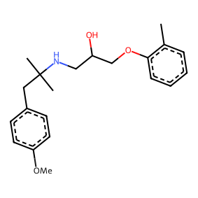 COc1ccc(CC(C)(C)NCC(O)COc2ccccc2C)cc1